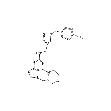 FC(F)(F)c1ccc(Cn2cc(CNc3nc4c5c(ccn5CC5COCCN45)n3)cn2)cn1